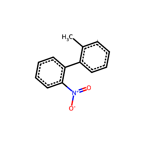 Cc1[c]cccc1-c1ccccc1[N+](=O)[O-]